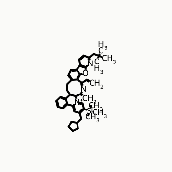 C=C/C1=N/C(=C)C2C(CCc3ccc4c(oc5nc(CC(C)(C)C)ccc54)c31)c1ccccc1-c1cc(CC3CCCC3)c([Si](C)(C)C)c[n+]12